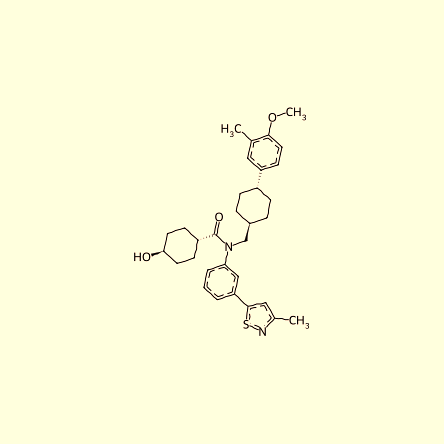 COc1ccc([C@H]2CC[C@H](CN(c3cccc(-c4cc(C)ns4)c3)C(=O)[C@H]3CC[C@H](O)CC3)CC2)cc1C